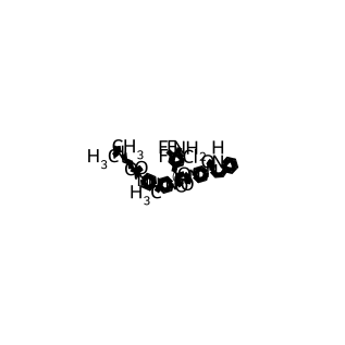 CN(C)CCCOC(=O)CN1CCN(C2(C)CCN(C(=O)[C@@H](Cc3cc(Cl)c(N)c(C(F)(F)F)c3)OC(=O)N3CCC(N4CCc5ccccc5NC4=O)CC3)CC2)CC1